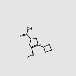 CSC1=[N+](C2CCC2)CC(C(=O)O)C1